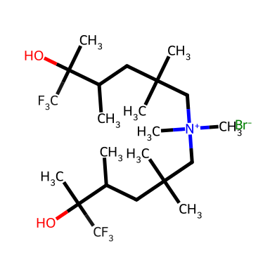 CC(CC(C)(C)C[N+](C)(C)CC(C)(C)CC(C)C(C)(O)C(F)(F)F)C(C)(O)C(F)(F)F.[Br-]